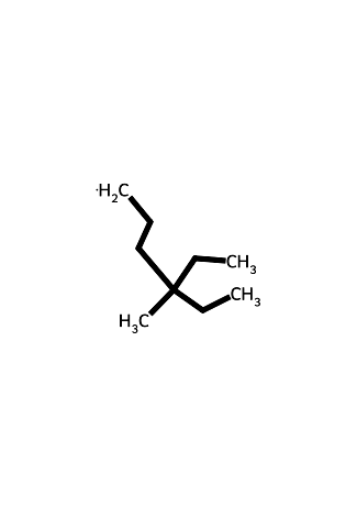 [CH2]CCC(C)(CC)CC